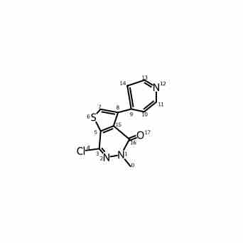 Cn1nc(Cl)c2scc(-c3ccncc3)c2c1=O